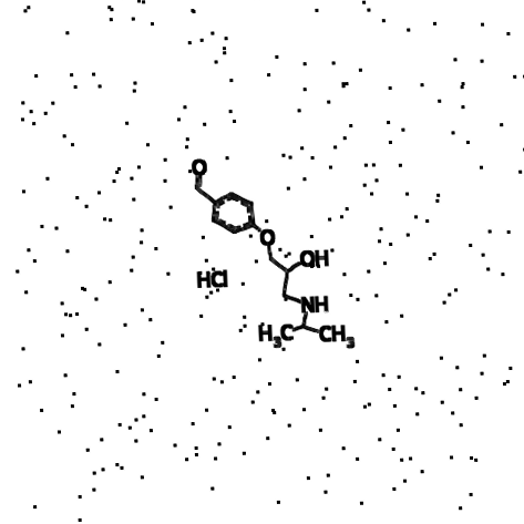 CC(C)NCC(O)COc1ccc(C=O)cc1.Cl